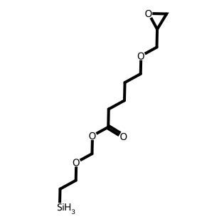 O=C(CCCCOCC1CO1)OCOCC[SiH3]